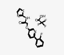 O=C(COc1ccc(-c2ccccc2F)nc1)Nc1nccs1.O=C(O)C(F)(F)F